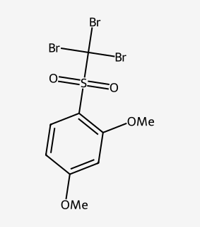 COc1ccc(S(=O)(=O)C(Br)(Br)Br)c(OC)c1